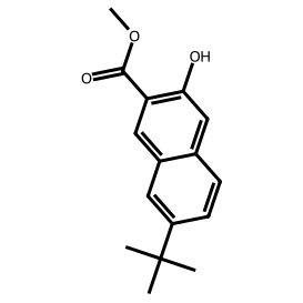 COC(=O)c1cc2cc(C(C)(C)C)ccc2cc1O